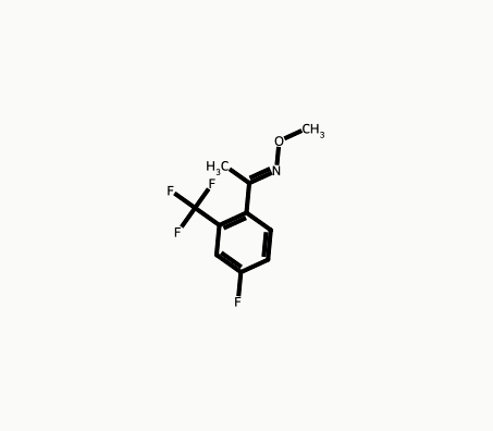 CO/N=C(\C)c1ccc(F)cc1C(F)(F)F